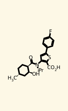 CC(C)N(C(=O)[C@@H]1CC[C@@H](C)C[C@@H]1O)c1cc(-c2ccc(F)cc2)sc1C(=O)O